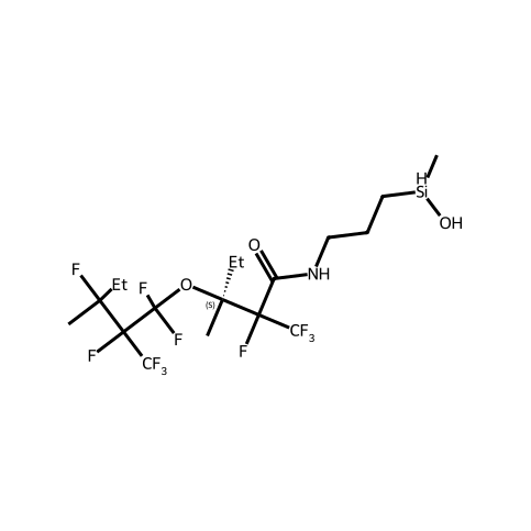 CCC(C)(F)C(F)(C(F)(F)F)C(F)(F)O[C@@](C)(CC)C(F)(C(=O)NCCC[SiH](C)O)C(F)(F)F